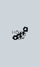 O=C(Oc1c(O)c2ccccc2oc1=O)c1ccccc1